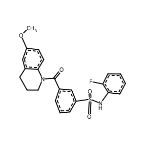 COc1ccc2c(c1)CCCN2C(=O)c1cccc(S(=O)(=O)Nc2ccccc2F)c1